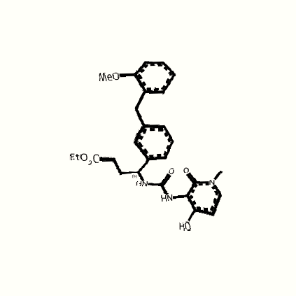 CCOC(=O)CC[C@H](NC(=O)Nc1c(O)ccn(C)c1=O)c1cccc(Cc2ccccc2OC)c1